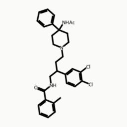 CC(=O)NC1(c2ccccc2)CCN(CCC(CNC(=O)c2ccccc2C)c2ccc(Cl)c(Cl)c2)CC1